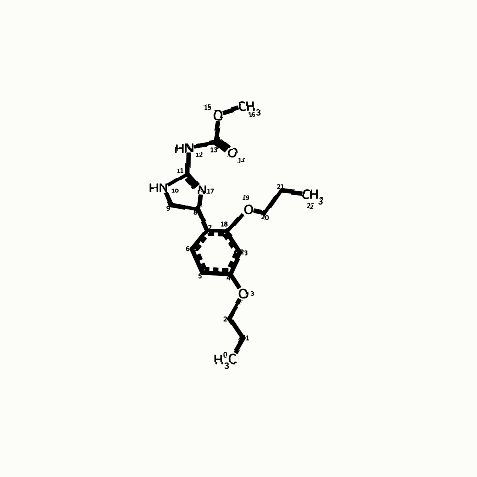 CCCOc1ccc(C2CNC(NC(=O)OC)=N2)c(OCCC)c1